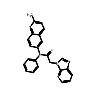 Cc1ccc2cc(N(C(=O)Cn3cnc4cccnc43)c3ccccc3)ccc2n1